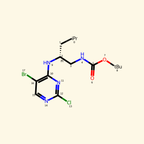 CC(C)C[C@H](CNC(=O)OC(C)(C)C)Nc1nc(Cl)ncc1Br